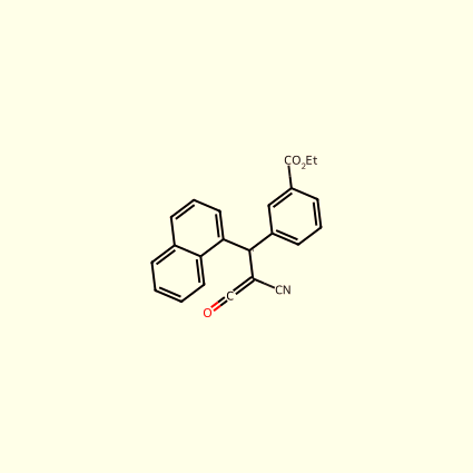 CCOC(=O)c1cccc([C](C(=C=O)C#N)c2cccc3ccccc23)c1